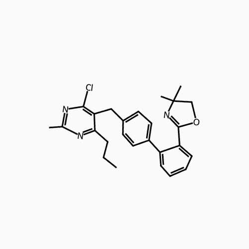 CCCc1nc(C)nc(Cl)c1Cc1ccc(-c2ccccc2C2=NC(C)(C)CO2)cc1